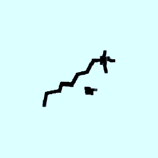 CCCC=CCCC[N+](C)(C)C.[Br-]